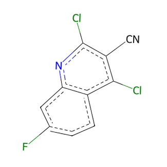 N#Cc1c(Cl)nc2cc(F)ccc2c1Cl